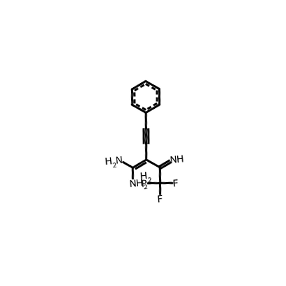 N=C(C(C#Cc1ccccc1)=C(N)N)C(F)(F)P